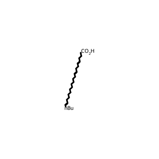 CCCCC=CCCCCCCCCCCC=CCCC=CCCCC(=O)O